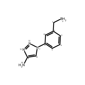 BCc1cccc(-n2cc(N)nn2)c1